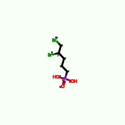 O=P(O)(O)CCCC(Br)CBr